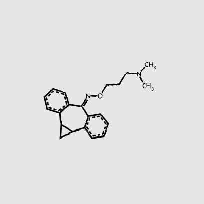 CN(C)CCCON=C1c2ccccc2C2CC2c2ccccc21